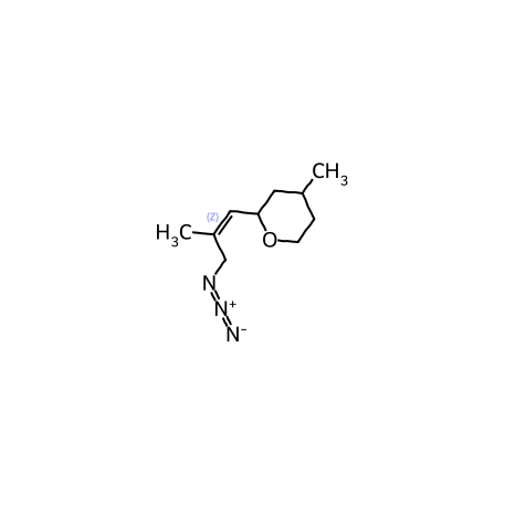 C/C(=C/C1CC(C)CCO1)CN=[N+]=[N-]